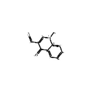 Cn1cc(C=O)c(=O)c2ccccc21